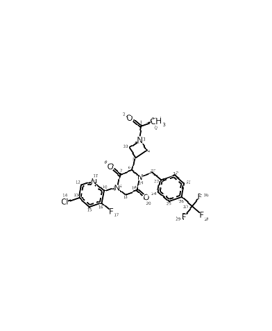 CC(=O)N1CC(C2C(=O)N(c3ncc(Cl)cc3F)CC(=O)N2Cc2ccc(C(F)(F)F)cc2)C1